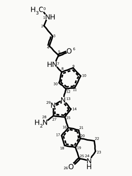 CNC/C=C/C(=O)Nc1cccc(-n2cc(-c3ccc4c(c3)CCNC4=O)c(N)n2)c1